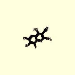 N#Cc1c(N)nc2c(F)c(Br)c(Cl)cc2c1O